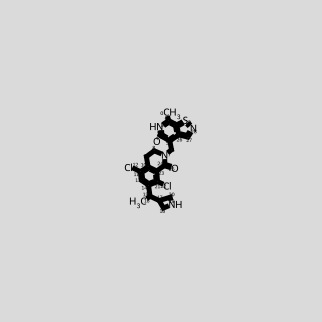 Cc1[nH]c(=O)c(CN2CCc3c(Cl)cc(C(C)C4CNC4)c(Cl)c3C2=O)c2cnsc12